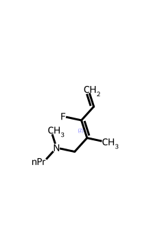 C=C/C(F)=C(\C)CN(C)CCC